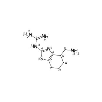 N=C(N)Nc1nc2c(s1)CCCC2CN